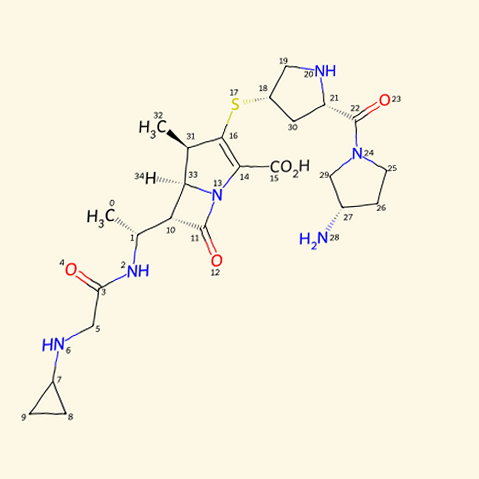 C[C@@H](NC(=O)CNC1CC1)[C@H]1C(=O)N2C(C(=O)O)=C(S[C@@H]3CN[C@H](C(=O)N4CC[C@H](N)C4)C3)[C@H](C)[C@H]12